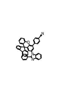 N#Cc1ccc(-c2cc(-n3c(-c4ccccc4)nc4ccccc43)cc3c2Oc2ccccc2C32c3ccccc3-c3ccccc32)cc1